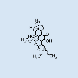 C=CCN(C=C1C(=O)OC(COC)C2(C)C1=C(O)C(=O)C1=C2C(O)CC2(C)C(C)CCC12)CC=C